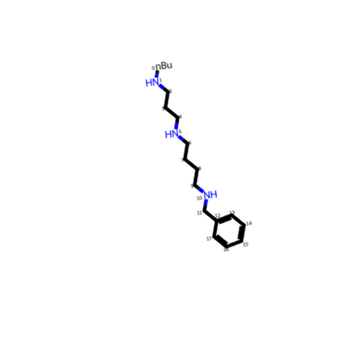 CCCCNCCCNCCCCNCc1ccccc1